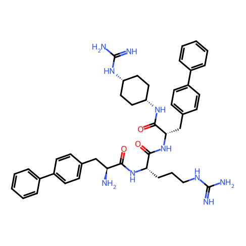 N=C(N)NCCC[C@H](NC(=O)[C@@H](N)Cc1ccc(-c2ccccc2)cc1)C(=O)N[C@@H](Cc1ccc(-c2ccccc2)cc1)C(=O)N[C@H]1CC[C@@H](NC(=N)N)CC1